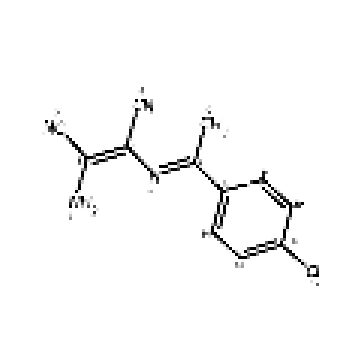 CC(=N/C(C#N)=C(\N)C#N)c1ccc(Cl)cc1